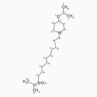 CC(C)OC1CCN(CCCCCCCCCCC(=O)C(C)C)CC1